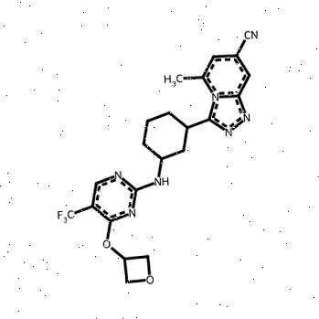 Cc1cc(C#N)cc2nnc(C3CCCC(Nc4ncc(C(F)(F)F)c(OC5COC5)n4)C3)n12